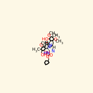 COc1c(C)c(OC)c2c(c1O)[C@H]1[C@@H]3Cc4c(OC)c(C)c(CO)c(O)c4[C@H](CNC(=O)OCc4ccccc4)N3[C@@H](C#N)[C@@H](C2)N1C